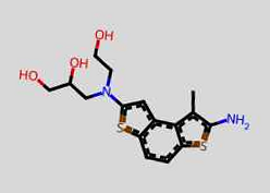 Cc1c(N)sc2ccc3sc(N(CCO)CC(O)CO)cc3c12